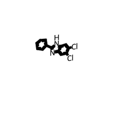 Clc1cc2nc(-c3ccccc3)[nH]c2cc1Cl